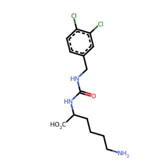 NCCCCC(NC(=O)NCc1ccc(Cl)c(Cl)c1)C(=O)O